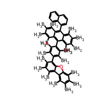 Bc1c(B)c(-c2c3c(B)c(B)c(B)c(B)c3c(-c3cccc4ccccc34)c3c(B)c(B)c(B)c(B)c23)c(B)c(B)c1-c1c(B)c(B)c(B)c2c1oc1c(B)c(B)c(B)c(B)c12